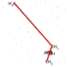 CCCCCCCCCCCCCCCCCCCCCCCCCCCCCCCCCCCCCCCCCCCCCCCCCCCCCCCCCCCCCCCCCCCCCCCCCCCCCCCCCCCCCCCCCCCCCCCCCCC(C)CCCCCCCCCC(=O)NC(C(=O)O)C(O)CCCCCCCCCCCCCCC